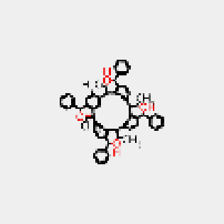 CCC1c2ccc(C(O)c3ccccc3)c(c2)C(CC)c2ccc(C(O)c3ccccc3)c(c2)C(CC)c2ccc(C(O)c3ccccc3)c(c2)C(CC)c2ccc(C(O)c3ccccc3)c1c2